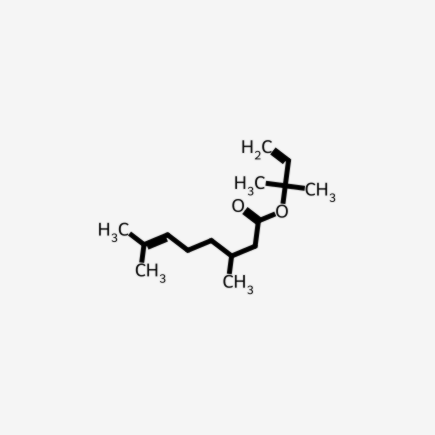 C=CC(C)(C)OC(=O)CC(C)CCC=C(C)C